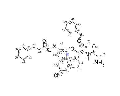 CC(N)C(=O)NC(C(=O)N1CCCC1/C=C/[C@](C)(COC(=O)CCc1ccccc1)Cc1cccc(Cl)c1)[C@@H](C)OCc1ccccc1